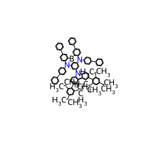 CC(C)c1cc(C(C)C)c(-c2ccc3c(c2)c2cc(-c4c(C(C)C)cc(C(C)C)cc4C(C)C)ccc2n3-c2cc3c4c(c2)N(c2ccc(-c5ccccc5)cc2)c2ccc(-c5ccccc5)cc2B4c2cc(-c4ccccc4)ccc2N3c2ccc(-c3ccccc3)cc2)c(C(C)C)c1